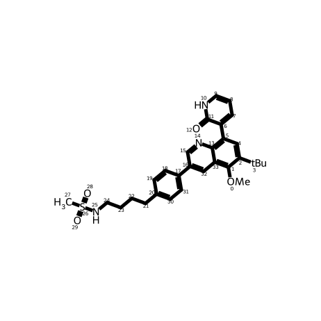 COc1c(C(C)(C)C)cc(-c2ccc[nH]c2=O)c2ncc(-c3ccc(CCCCNS(C)(=O)=O)cc3)cc12